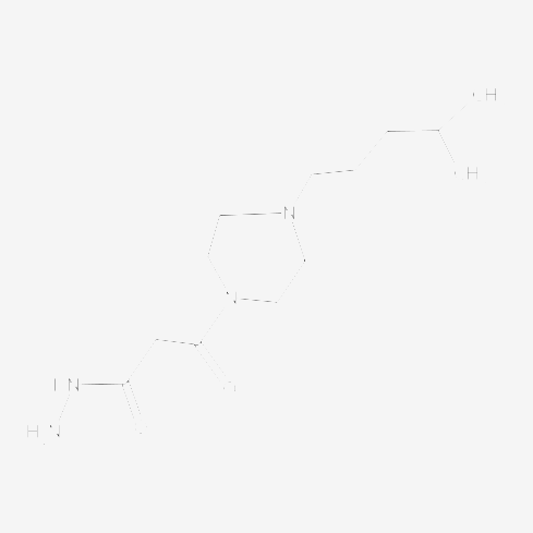 CC(C)CCCN1CCN(C(=O)CC(=O)NN)CC1